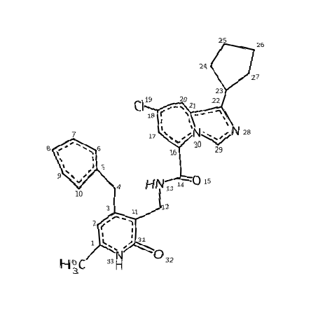 Cc1cc(Cc2ccccc2)c(CNC(=O)c2cc(Cl)cc3c(C4CCCC4)ncn23)c(=O)[nH]1